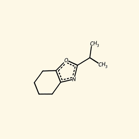 CC(C)c1nc2c(o1)CCCC2